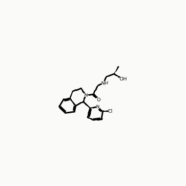 C[C@@H](O)CNCC(=O)N1CCc2ccccc2C1c1cccc(Cl)n1